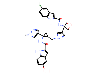 Cn1cc(C2(NC(=O)c3cc4cc(O)ccc4[nH]3)CC2Cn2cc(C3(NC(=O)c4cc5cc(Cl)ccc5[nH]4)COC3)cn2)cn1